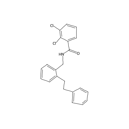 O=C(NCc1ccccc1CCc1ccccc1)c1cccc(Cl)c1Cl